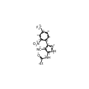 CCC(=O)Nc1[nH]nc(-c2ccc(C(F)(F)F)cc2[N+](=O)[O-])c1C#N